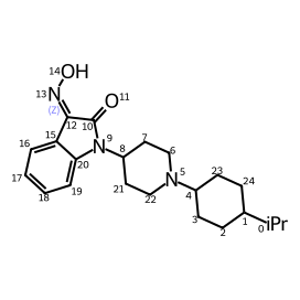 CC(C)C1CCC(N2CCC(N3C(=O)/C(=N\O)c4ccccc43)CC2)CC1